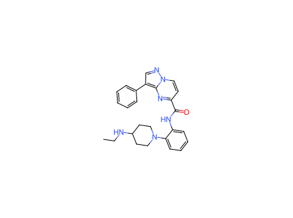 CCNC1CCN(c2ccccc2NC(=O)c2ccn3ncc(-c4ccccc4)c3n2)CC1